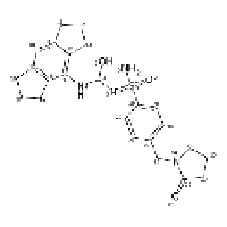 NS(=O)(=NC(O)Nc1c2c(cc3c1CCC3)CCC2)c1ccc(CN2CCCC2=O)cc1